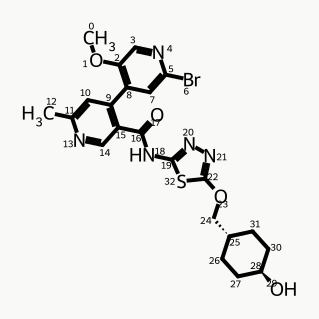 COc1cnc(Br)cc1-c1cc(C)ncc1C(=O)Nc1nnc(OC[C@H]2CC[C@H](O)CC2)s1